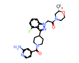 Nc1cc(C(=O)N2CCC(c3nn(CC(=O)N4CCO[C@@H](C(F)(F)F)C4)c4cccc(F)c34)CC2)ccn1